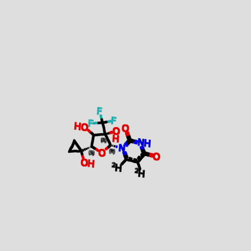 [2H]c1c([2H])n([C@@H]2O[C@H](C3(O)CC3)C(O)[C@]2(O)C(F)(F)F)c(=O)[nH]c1=O